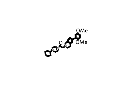 COc1ccc(OC)c(-c2ccc3c(c2)CCN(CC(=O)N2CCN(C4CCCCC4)CC2)C3)c1